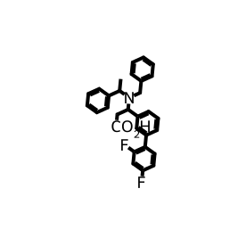 CC(c1ccccc1)N(Cc1ccccc1)C(CC(=O)O)c1cccc(-c2ccc(F)cc2F)c1